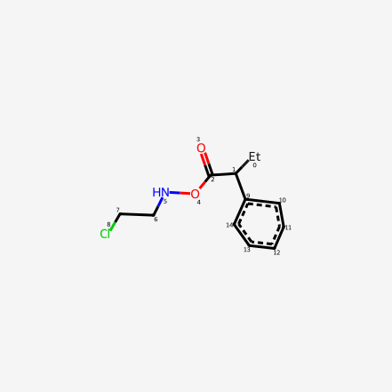 CCC(C(=O)ONCCCl)c1ccccc1